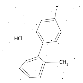 Cc1ccccc1-c1ccc(F)cc1.Cl